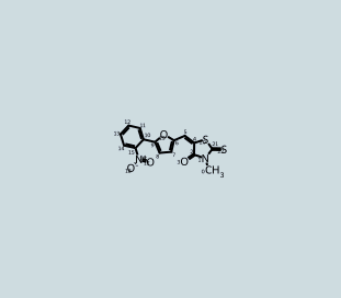 CN1C(=O)/C(=C\c2ccc(-c3ccccc3[N+](=O)[O-])o2)SC1=S